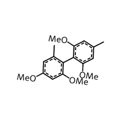 COc1cc(C)c(-c2c(OC)cc(C)cc2OC)c(OC)c1